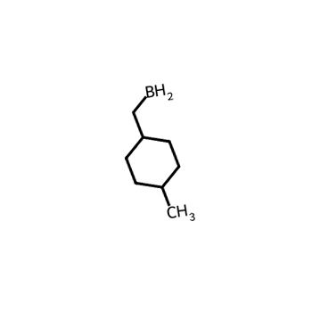 BCC1CCC(C)CC1